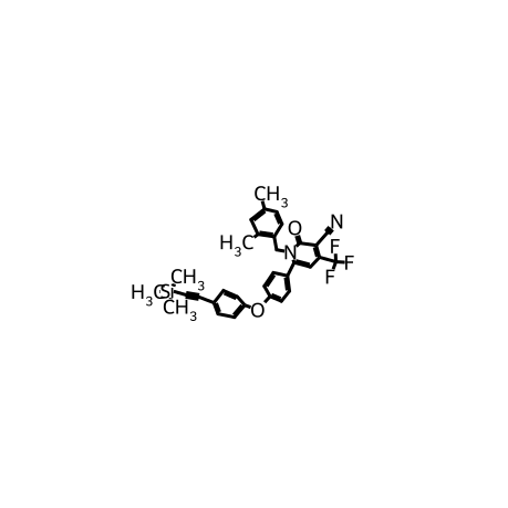 Cc1ccc(Cn2c(-c3ccc(Oc4ccc(C#C[Si](C)(C)C)cc4)cc3)cc(C(F)(F)F)c(C#N)c2=O)c(C)c1